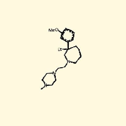 CCC1(c2cccc(OC)c2)CCCCN(CCN2CCN(C)CC2)C1